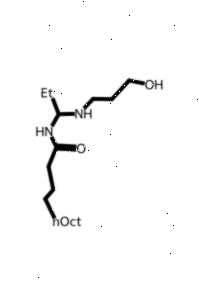 CCCCCCCCCCCC(=O)NC(CC)NCCCO